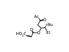 CCCCC(CC)C(CC(=O)C(C)=O)OC(=O)/C=C\C(=O)O